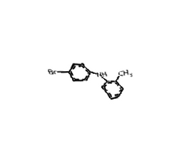 Cc1ccccc1Nc1ccc(Br)cc1